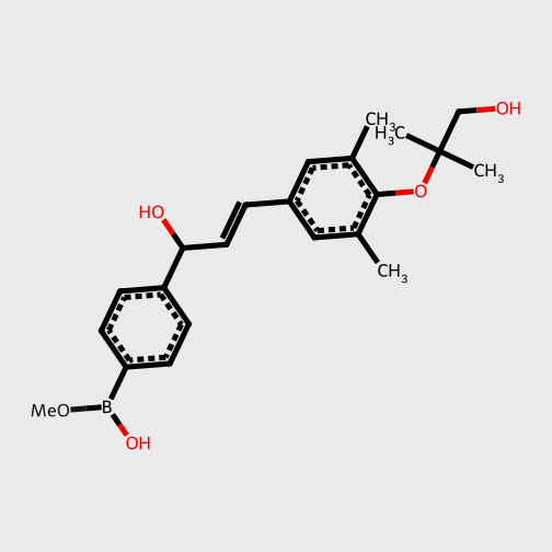 COB(O)c1ccc(C(O)/C=C/c2cc(C)c(OC(C)(C)CO)c(C)c2)cc1